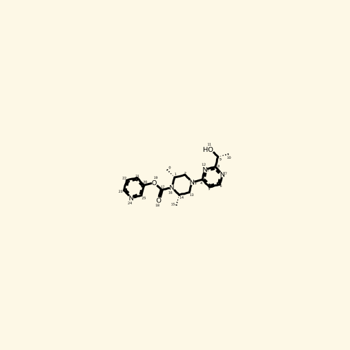 C[C@@H]1CN(c2ccnc([C@@H](C)O)n2)C[C@H](C)N1C(=O)Oc1cccnc1